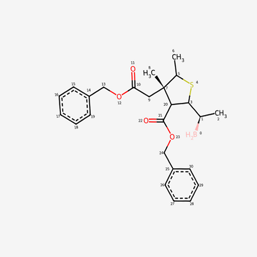 B[C@H](C)C1SC(C)[C@@](C)(CC(=O)OCc2ccccc2)C1C(=O)OCc1ccccc1